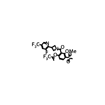 COc1c(S(C)(=O)=O)ccc(O[C@@H](C)C(F)(F)F)c1C(=O)N1CC(c2ncc(C(F)(F)F)cc2F)C1